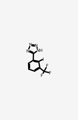 FC(F)(F)c1cccc(-c2nnn[nH]2)c1I